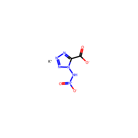 O=C([O-])c1nnnn1N[N+](=O)[O-].[K+]